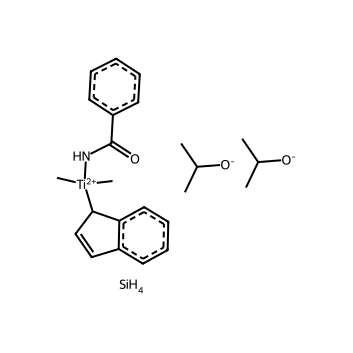 CC(C)[O-].CC(C)[O-].[CH3][Ti+2]([CH3])([NH]C(=O)c1ccccc1)[CH]1C=Cc2ccccc21.[SiH4]